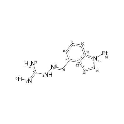 [H]/N=C(\N)NN=Cc1cccc2c1ccn2CC